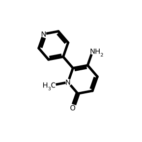 Cn1c(-c2ccncc2)c(N)ccc1=O